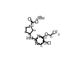 CC(C)(C)OC(=O)N1CC[C@H](Nc2ncc(Cl)c(OCC(F)(F)F)n2)C1